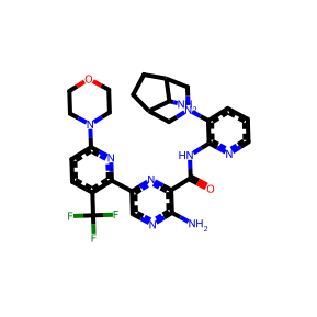 Nc1ncc(-c2nc(N3CCOCC3)ccc2C(F)(F)F)nc1C(=O)Nc1ncccc1N1CC2CCC(C1)C2N